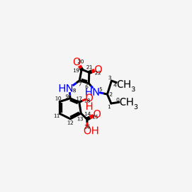 CCC(CC)Nc1c(Nc2cccc(C(=O)O)c2O)c(=O)c1=O